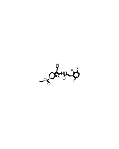 CCOC(=O)N1CCc2c(sc(NC(=O)/C=C/c3c(F)ccc(F)c3F)c2C#N)C1